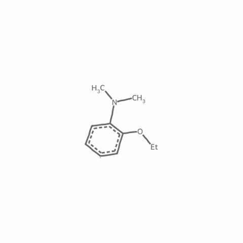 CCOc1c[c]ccc1N(C)C